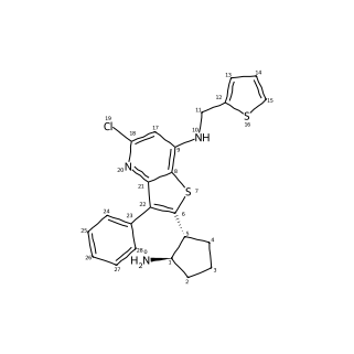 N[C@@H]1CCC[C@H]1c1sc2c(NCc3cccs3)cc(Cl)nc2c1-c1ccccc1